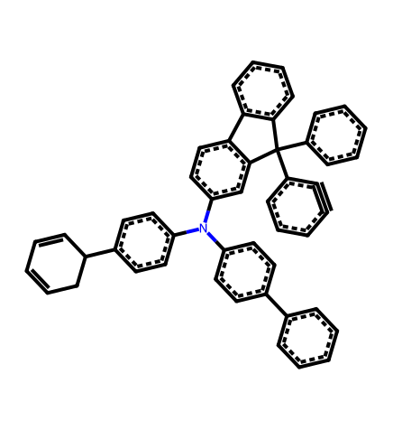 c1cccc(C2(c3ccccc3)c3ccccc3-c3ccc(N(c4ccc(-c5ccccc5)cc4)c4ccc(C5C=CC=CC5)cc4)cc32)c#1